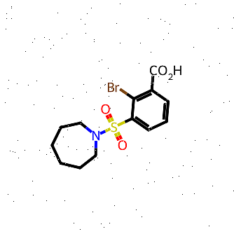 O=C(O)c1cccc(S(=O)(=O)N2CCCCCC2)c1Br